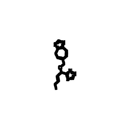 CC/C=C/C(OCC1=CCc2scnc2C=C1)c1nncs1